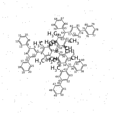 Cc1c(C)c(-c2cc(-c3ccccc3)cc(-c3ccccc3)c2)c(C)c(C)c1B(c1c(C)c(C)c(C(c2ccccc2)c2ccc(-c3ccccc3)cc2)c(C)c1C)c1c(C)c(C)c(C(c2ccccc2)c2ccc(-c3ccccc3)cc2)c(C)c1C